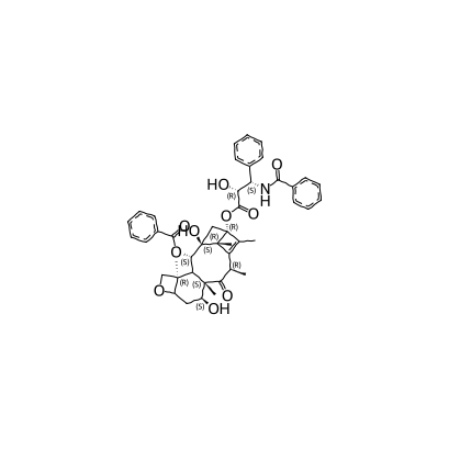 CC1=C2[C@@H](C)C(=O)[C@@]3(C)C([C@H](OC(=O)c4ccccc4)[C@]4(O)C[C@]1(OC(=O)[C@H](O)[C@@H](NC(=O)c1ccccc1)c1ccccc1)[C@]24C)[C@]1(C)COC1C[C@@H]3O